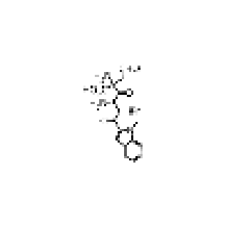 CC(C)[C@H](C(=O)c1cc2ccccc2n1C)[C@H](N)C(=O)C(N)(CC=O)C(=O)O